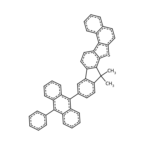 CC1(C)c2ccc(-c3c4ccccc4c(-c4ccccc4)c4ccccc34)cc2-c2ccc3c(sc4ccc5ccccc5c43)c21